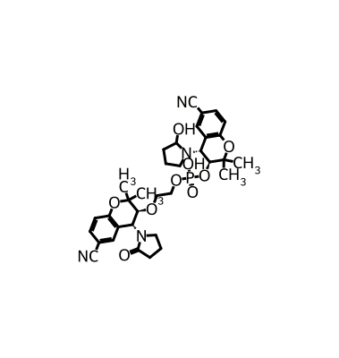 CC1(C)Oc2ccc(C#N)cc2[C@@H](N2CCCC2=O)[C@@H]1OCCOP(=O)(O)O[C@H]1[C@H](N2CCCC2O)c2cc(C#N)ccc2OC1(C)C